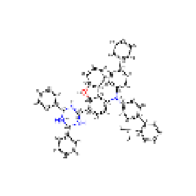 CC1(C)c2ccccc2-c2ccc(N(c3ccc(-c4ccccc4)cc3)c3ccc(C4=NC(c5ccccc5)NC(c5ccccc5)N4)c4oc5ccccc5c34)cc21